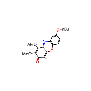 CCCCOc1ccc2oc3c(C)c(=O)c(OC)c(OC)c-3nc2c1